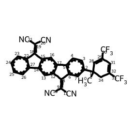 CC1(c2ccc3c(c2)C(=C(C#N)C#N)c2cc4c(cc2-3)C(=C(C#N)C#N)c2ccccc2-4)C=C(C(F)(F)F)C=C(C(F)(F)F)C1